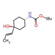 C/C=C/[C@]1(O)CC[C@H](NC(=O)OC(C)(C)C)CC1